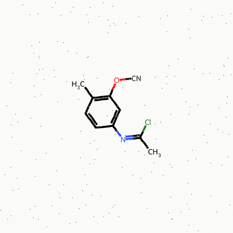 C/C(Cl)=N/c1ccc(C)c(OC#N)c1